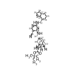 CC(C)(C)OC(=O)N[C@@H]1[C@@H]2CC3C[C@H]1C[C@](CNc1nc(NCc4cccc5ccsc45)ncc1C#N)(C3)C2